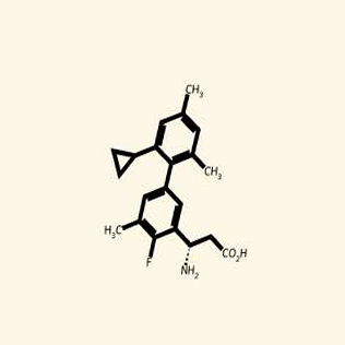 Cc1cc(C)c(-c2cc(C)c(F)c([C@@H](N)CC(=O)O)c2)c(C2CC2)c1